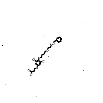 ClC(Cl)=CCOc1cc(Cl)c(OCCCCOC/C=N/OCc2ccccc2)c(Cl)c1